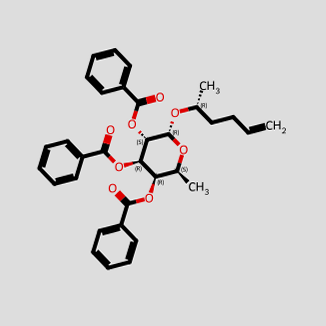 C=CCC[C@@H](C)O[C@@H]1O[C@@H](C)[C@@H](OC(=O)c2ccccc2)[C@@H](OC(=O)c2ccccc2)[C@@H]1OC(=O)c1ccccc1